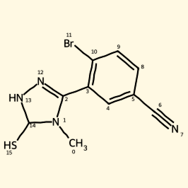 CN1C(c2cc(C#N)ccc2Br)=NNC1S